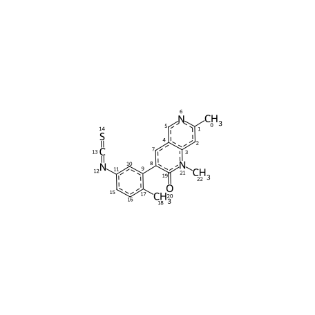 Cc1cc2c(cn1)cc(-c1cc(N=C=S)ccc1C)c(=O)n2C